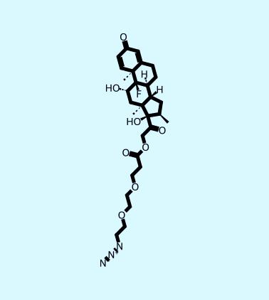 C[C@@H]1C[C@H]2[C@@H]3CCC4=CC(=O)C=C[C@]4(C)[C@@]3(F)[C@@H](O)C[C@]2(C)[C@@]1(O)C(=O)COC(=O)CCOCCOCCN=[N+]=[N-]